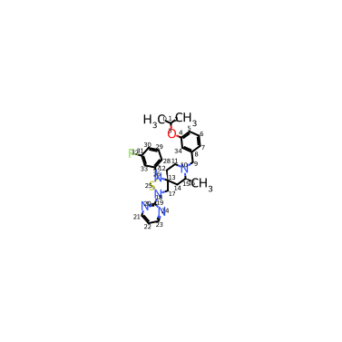 CC(C)Oc1cccc(CN2CC[C@@]3(C[C@@H]2C)CN(c2ncccn2)SN3c2cccc(F)c2)c1